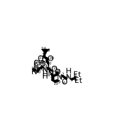 CCC(CC)CNC(=O)Cn1cccc(NC(=O)[C@H](CCC(=O)C(=O)C2CC2)NC(=O)c2cncn2C)c1=O